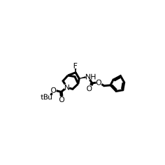 CC(C)(C)OC(=O)N1CC2CC(C1)[C@H](NC(=O)OCc1ccccc1)[C@@H]2F